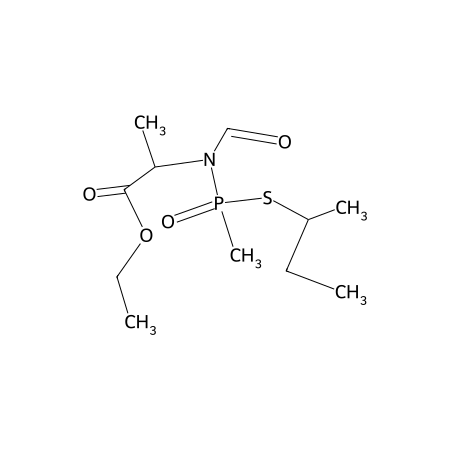 CCOC(=O)C(C)N(C=O)P(C)(=O)SC(C)CC